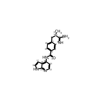 CN(Cc1ccc(C(=O)Nc2ccnc3[nH]ccc23)cc1)C(=N)N